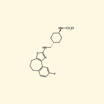 CCOC(=O)N[C@H]1CC[C@H](CNc2nc3c(s2)CCCc2ccc(F)cc2-3)CC1